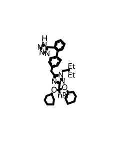 CCCC(OC1CCCCC1)(OC1CCCCC1)c1nc(Cc2ccc(-c3ccccc3-c3nnn[nH]3)cc2)n(CC(CC)CC)n1